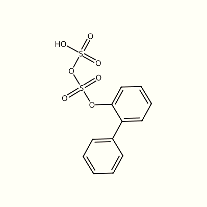 O=S(=O)(O)OS(=O)(=O)Oc1ccccc1-c1ccccc1